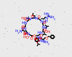 CC[C@H](C)C1NC(=O)[C@@H](CCCNC(=N)N)NC(=O)[C@H](CC(C)C)NC(=O)[C@H]([C@H](O)C(C)C)NC(=O)[C@@H](NC(=O)[C@H](CC(C)C)NC(=O)[C@H](N)COCc2ccccc2)[C@@H](c2ccccc2)OC(=O)[C@H](CO)NC(=O)[C@H]([C@H](O)C(N)=O)NC(=O)CNC(=O)C([C@H](C)O)NC1=O